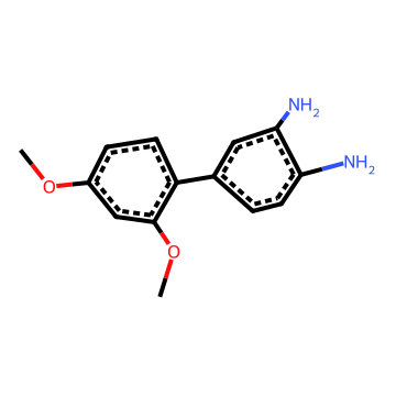 COc1ccc(-c2ccc(N)c(N)c2)c(OC)c1